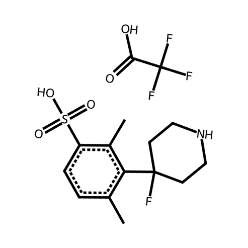 Cc1ccc(S(=O)(=O)O)c(C)c1C1(F)CCNCC1.O=C(O)C(F)(F)F